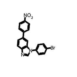 O=[N+]([O-])c1ccc(-c2ccc3ncn(-c4ccc(Br)cc4)c3c2)cc1